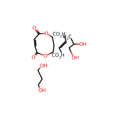 CC(O)CO.O=C(O)C=CC(=O)O.O=C1C=CC(=O)OCCCO1.OCCCO